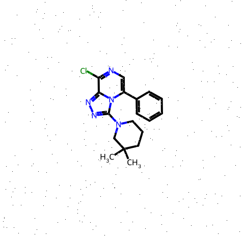 CC1(C)CCCN(c2nnc3c(Cl)ncc(-c4ccccc4)n23)C1